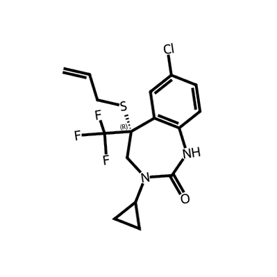 C=CCS[C@@]1(C(F)(F)F)CN(C2CC2)C(=O)Nc2ccc(Cl)cc21